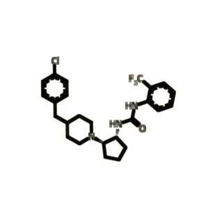 O=C(Nc1ccccc1C(F)(F)F)N[C@@H]1CCC[C@H]1N1CCC(Cc2ccc(Cl)cc2)CC1